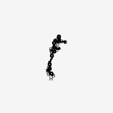 Cn1nc(C2CCC(=O)NC2=O)c2ccc(N3CCN(CCCCC4CCC(Oc5cccc(-c6ccc(N7CCc8ccnc(C(=O)N(COCC[Si](C)(C)C)c9nc%10ccccc%10s9)c8C7)nc6C(=O)OC(C)(C)C)c5C(F)(F)F)CC4)CC3)nc21